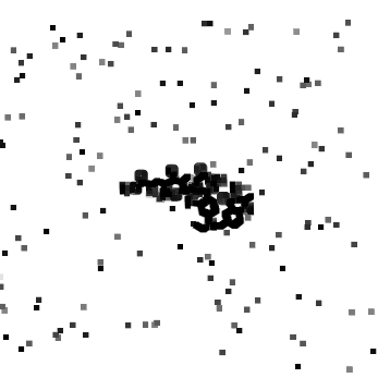 CCN(Cc1ccc2nc(C)[nH]c(=O)c2c1)c1ccc(C(=O)N[C@H](CC(C(=O)O)C(=O)[C@H](N)CCC(=O)O)C(=O)O)c(F)c1